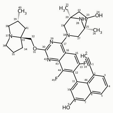 C#Cc1cccc2cc(O)cc(-c3c(F)cc4c(N5C[C@@]6(C)CC(O)[C@@](C)(C5)N6)nc(OC[C@@]56CCCN5C[C@H](C)C6)nc4c3F)c12